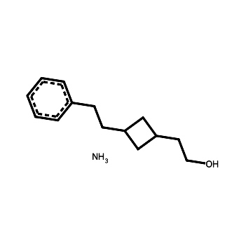 N.OCCC1CC(CCc2ccccc2)C1